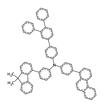 CC1(C)c2ccccc2-c2c(-c3cccc(N(c4ccc(-c5ccc(-c6ccccc6)c(-c6ccccc6)c5)cc4)c4ccc(-c5cccc6c5ccc5ccccc56)cc4)c3)cccc21